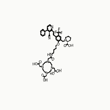 N#Cc1c(-c2ccccc2)ccnc1/C=C/c1cc(OCCCCNC(=O)CN2CCN(CC(=O)O)CCN(CC(=O)O)CCN(CC(O)O)CC2)c(CN2CCCC[C@H]2C(=O)O)cc1C(F)(F)F